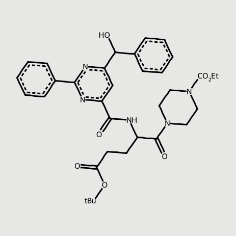 CCOC(=O)N1CCN(C(=O)C(CCC(=O)OC(C)(C)C)NC(=O)c2cc(C(O)c3ccccc3)nc(-c3ccccc3)n2)CC1